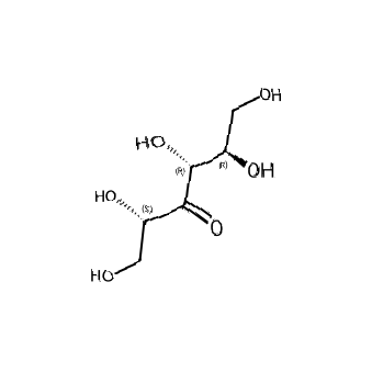 O=C([C@@H](O)CO)[C@H](O)[C@H](O)CO